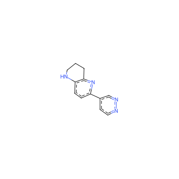 c1cc(-c2ccc3c(n2)CCCN3)cnn1